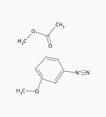 COC(C)=O.COc1cccc([N+]#N)c1